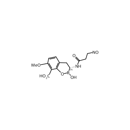 COc1ccc2c(c1C(=O)O)OB(O)[C@@H](NC(=O)CCN=O)C2